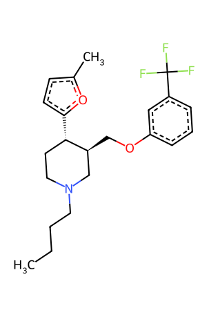 CCCCN1CC[C@H](c2ccc(C)o2)[C@@H](COc2cccc(C(F)(F)F)c2)C1